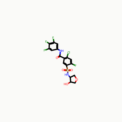 O=C(Nc1cc(F)c(F)c(F)c1)c1cc(S(=O)(=O)NC2COCC2O)c(F)cc1Cl